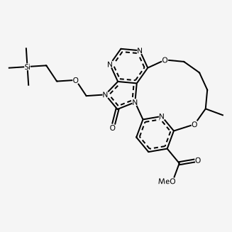 COC(=O)c1ccc2nc1OC(C)CCCOc1ncnc3c1n-2c(=O)n3COCC[Si](C)(C)C